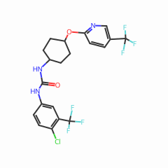 O=C(Nc1ccc(Cl)c(C(F)(F)F)c1)NC1CCC(Oc2ccc(C(F)(F)F)cn2)CC1